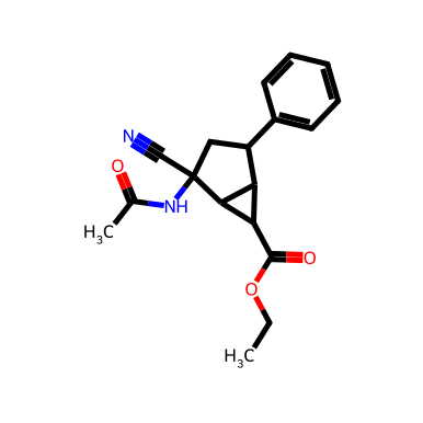 CCOC(=O)C1C2C(c3ccccc3)CC(C#N)(NC(C)=O)C12